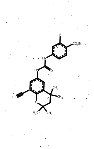 C#Cc1cc(NC(=O)Nc2ccc(C(=O)OCC)c(F)c2)cc2c1OC(C)(C)CC2(C)C